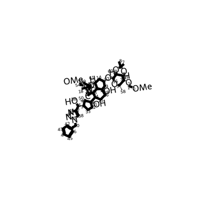 COCO[C@@H]1[C@H]2OC(C)(C)O[C@H]2[C@H](O[C@H]2C[C@H]3OC(C)(C)OC[C@]34C3C(CC[C@]4(O)C2)[C@@]2(O)CC[C@H](C(O)c4cn(Cc5ccccc5)nn4)[C@@]2(C)C[C@H]3OCOC)O[C@H]1C